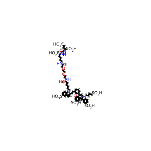 CC1(C)C(/C=C/C2=C(Oc3ccc(S(=O)(=O)O)cc3)C(=C/C=C3/N(CCCCS(=O)(=O)O)c4ccc(S(=O)(=O)O)cc4C3(C)C)/CCC2)=[N+](CCCCCC(O)NCCOCCOCC(=O)NCCCC[C@H](NC(=O)NC(CCC(=O)O)C(=O)O)C(=O)O)c2ccc(S(=O)(=O)O)cc21